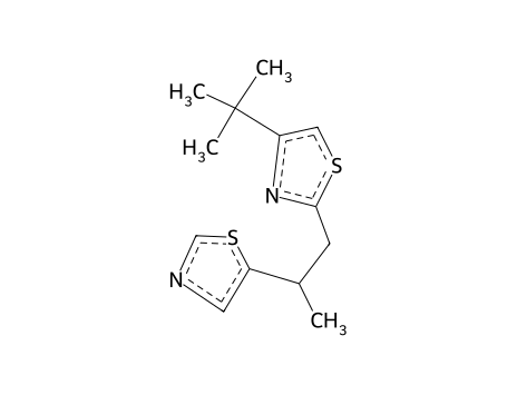 CC(Cc1nc(C(C)(C)C)cs1)c1cncs1